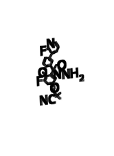 CC(C)(C#N)COc1cc(F)c2c(c1)C1(COC(N)=N1)c1cc(-c3cccnc3F)ccc1O2